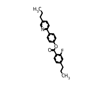 CCCc1ccc(-c2ccc(OC(=O)c3ccc(CCC)cc3F)cc2)nc1